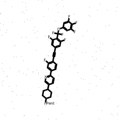 CCCCCC1CCC(c2ccc(-c3ccc(C#Cc4cc(F)c(C(F)(F)Oc5cc(F)c(F)c(F)c5)c(F)c4)c(F)c3)nc2)CC1